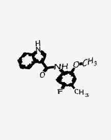 COc1cc(C)c(F)cc1NC(=O)c1c[nH]c2ccccc12